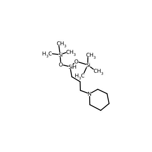 C[Si](C)(C)O[SiH](CCCN1CCCCC1)O[Si](C)(C)C